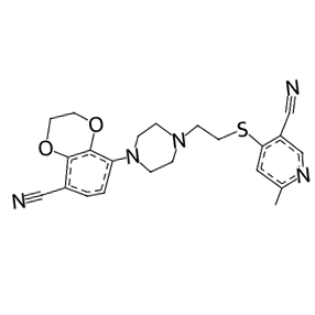 Cc1cc(SCCN2CCN(c3ccc(C#N)c4c3OCCO4)CC2)c(C#N)cn1